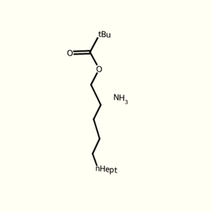 CCCCCCCCCCCCOC(=O)C(C)(C)C.N